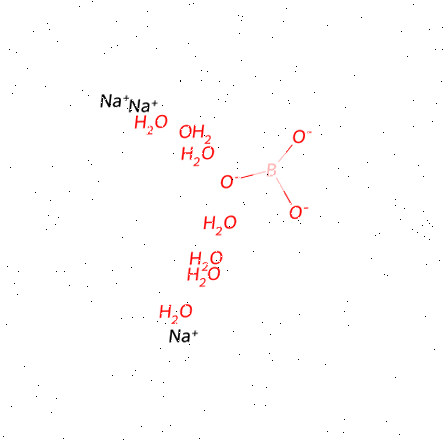 O.O.O.O.O.O.O.[Na+].[Na+].[Na+].[O-]B([O-])[O-]